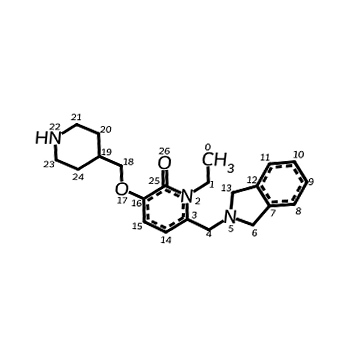 CCn1c(CN2Cc3ccccc3C2)ccc(OCC2CCNCC2)c1=O